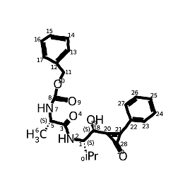 CC(C)[C@H](NC(=O)[C@H](C)NC(=O)OCc1ccccc1)[C@@H](O)c1c(-c2ccccc2)c1=O